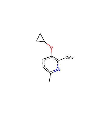 COc1nc(C)ccc1OC1CC1